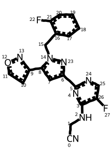 N#CCNc1nc(-c2cc(-c3ccon3)n(Cc3ccccc3F)n2)ncc1F